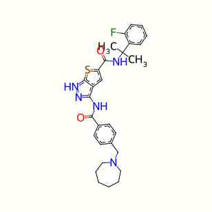 CC(C)(NC(=O)c1cc2c(NC(=O)c3ccc(CN4CCCCCC4)cc3)n[nH]c2s1)c1ccccc1F